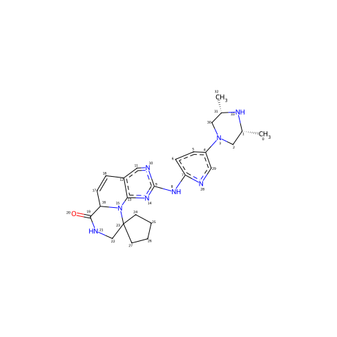 C[C@@H]1CN(c2ccc(Nc3ncc4c(n3)N3C(C=C4)C(=O)NCC34CCCC4)nc2)C[C@H](C)N1